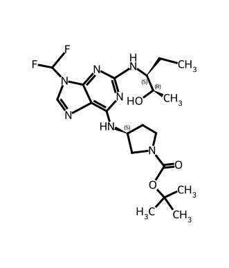 CC[C@H](Nc1nc(N[C@H]2CCN(C(=O)OC(C)(C)C)C2)c2ncn(C(F)F)c2n1)[C@@H](C)O